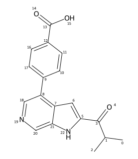 CC(C)C(=O)c1cc2c(-c3ccc(C(=O)O)cc3)cncc2[nH]1